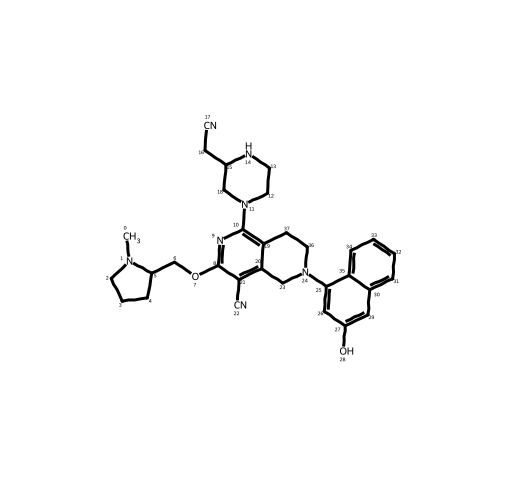 CN1CCCC1COc1nc(N2CCNC(CC#N)C2)c2c(c1C#N)CN(c1cc(O)cc3ccccc13)CC2